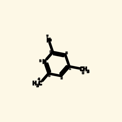 Cc1cc(C)nc([N])c1